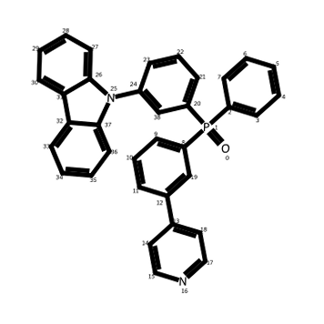 O=P(c1ccccc1)(c1cccc(-c2ccncc2)c1)c1cccc(-n2c3ccccc3c3ccccc32)c1